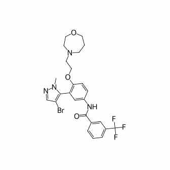 Cn1ncc(Br)c1-c1cc(NC(=O)c2cccc(C(F)(F)F)c2)ccc1OCCN1CCCOCC1